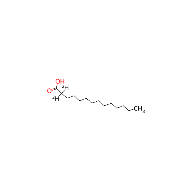 [2H]C([2H])(CCCCCCCCCCCC)C(=O)O